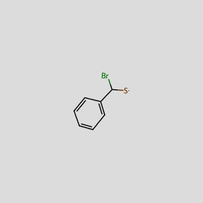 [S]C(Br)c1ccccc1